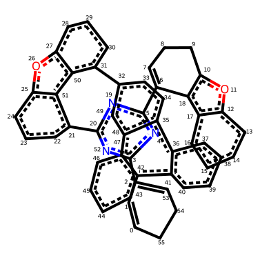 C1=CC(c2nc(C3=CCCc4oc5ccccc5c43)nc(-c3cccc4oc5cccc(-c6ccc7c8ccccc8c8ccccc8c7c6)c5c34)n2)=CCC1